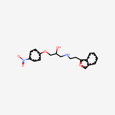 O=[N+]([O-])c1ccc(OCC(O)CNCCc2occ3ccccc23)cc1